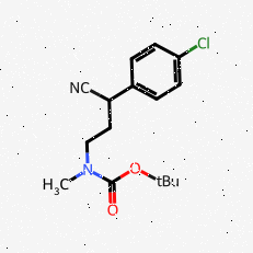 CN(CCC(C#N)c1ccc(Cl)cc1)C(=O)OC(C)(C)C